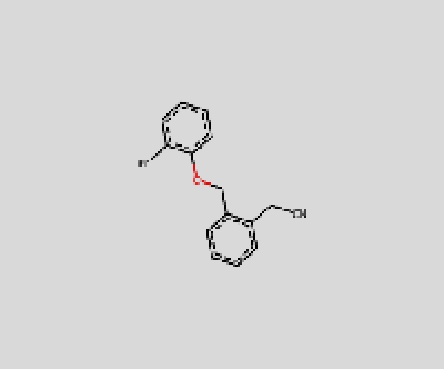 CC(C)c1ccccc1OCc1ccccc1CC#N